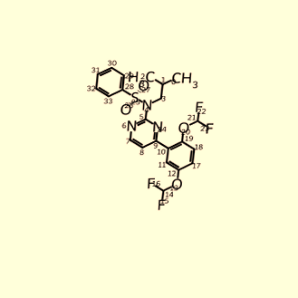 CC(C)CN(c1nccc(-c2cc(OC(F)F)ccc2OC(F)F)n1)S(=O)(=O)c1ccccc1